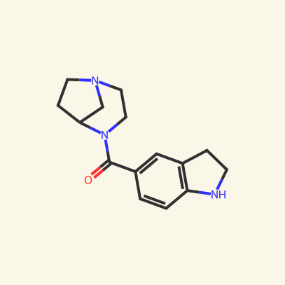 O=C(c1ccc2c(c1)CCN2)N1CCN2CCC1C2